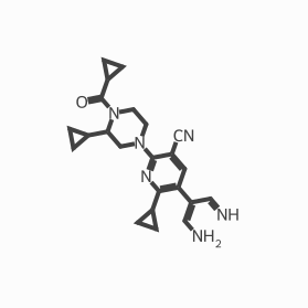 N#Cc1cc(/C(C=N)=C/N)c(C2CC2)nc1N1CCN(C(=O)C2CC2)C(C2CC2)C1